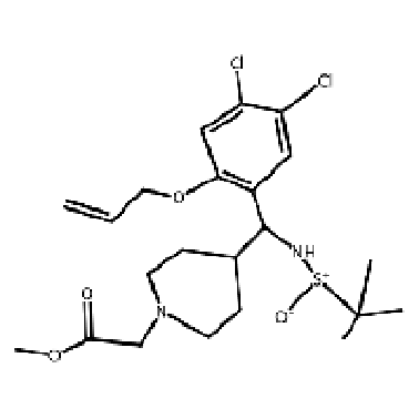 C=CCOc1cc(Cl)c(Cl)cc1C(N[S+]([O-])C(C)(C)C)C1CCN(CC(=O)OC)CC1